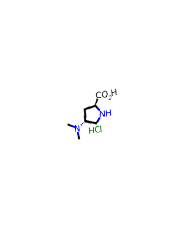 CN(C)[C@H]1CN[C@H](C(=O)O)C1.Cl